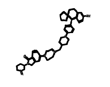 O=C1c2ccc(N3CCN(CC4CCN(c5ccc([C@@H]6c7ccc(O)cc7CCC67CCCC7)cc5)CC4)CC3)cc2CN1C1CCCNC1